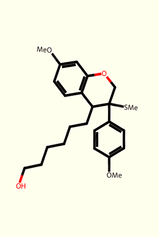 COc1ccc(C2(SC)COc3cc(OC)ccc3C2CCCCCCO)cc1